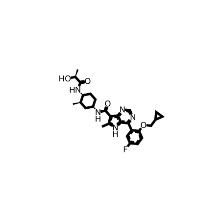 Cc1[nH]c2c(-c3cc(F)ccc3OCC3CC3)ncnc2c1C(=O)N[C@H]1CC[C@@H](NC(=O)[C@H](C)O)[C@H](C)C1